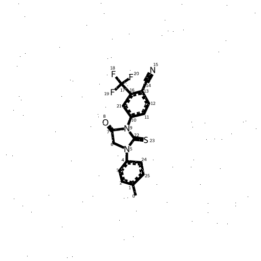 Cc1ccc(N2CC(=O)N(c3ccc(C#N)c(C(F)(F)F)c3)C2=S)cc1